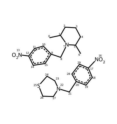 CC1CCCC(C)N1Cc1ccc([N+](=O)[O-])cc1.O=[N+]([O-])c1ccc(CN2CCSCC2)cc1